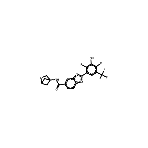 O=C(NC12COC(C1)C2)c1ccc2oc(-c3cc(C(F)(F)F)c(F)c(O)c3F)nc2c1